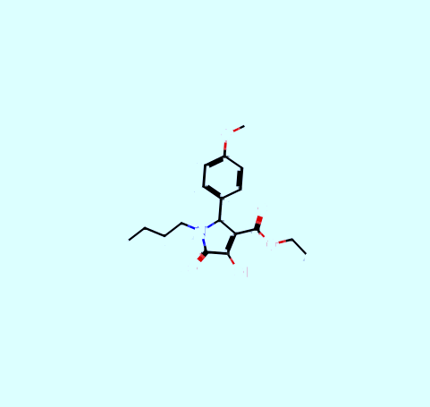 CCCCN1C(=O)C(O)=C(C(=O)OCC)C1c1ccc(OC)cc1